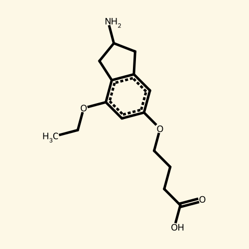 CCOc1cc(OCCCC(=O)O)cc2c1CC(N)C2